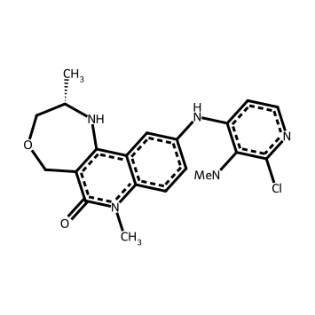 CNc1c(Nc2ccc3c(c2)c2c(c(=O)n3C)COC[C@H](C)N2)ccnc1Cl